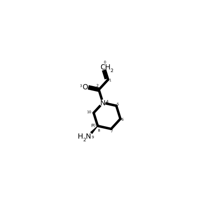 C=CC(=O)N1CCC[C@@H](N)C1